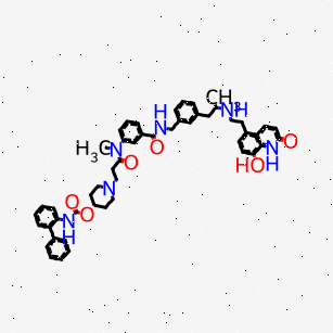 CC(Cc1cccc(CNC(=O)c2cccc(N(C)C(=O)CCN3CCC(OC(=O)Nc4ccccc4-c4ccccc4)CC3)c2)c1)NCCc1ccc(O)c2[nH]c(=O)ccc12